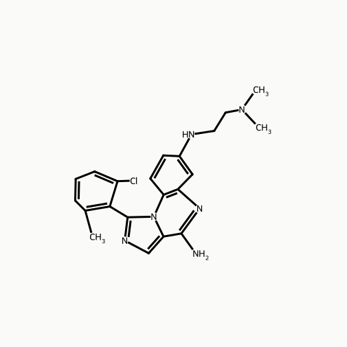 Cc1cccc(Cl)c1-c1ncc2c(N)nc3cc(NCCN(C)C)ccc3n12